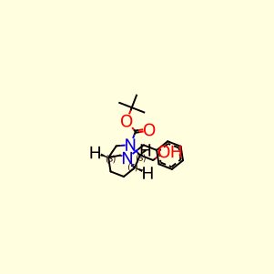 CC(C)(C)OC(=O)N1C[C@H]2CC[C@@H]([C@H]1CO)N(Cc1ccccc1)C2